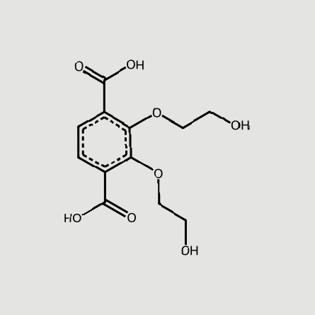 O=C(O)c1ccc(C(=O)O)c(OCCO)c1OCCO